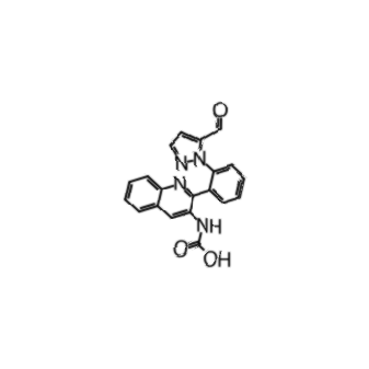 O=Cc1ccnn1-c1ccccc1-c1nc2ccccc2cc1NC(=O)O